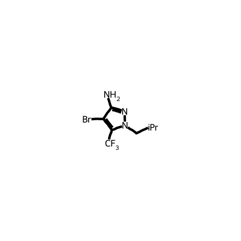 CC(C)Cn1nc(N)c(Br)c1C(F)(F)F